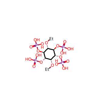 CCO[C@@H]1[C@@H](OP(=O)(O)O)[C@H](OP(=O)(O)O)[C@H](OCC)[C@H](OP(=O)(O)O)[C@H]1OP(=O)(O)O